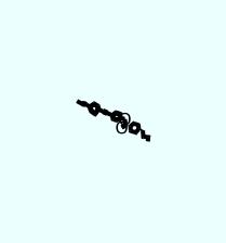 CC#Cc1ccc(C#Cc2ccc(OC(=O)[C@H]3CC[C@H](CCCC)CC3)cc2)cc1